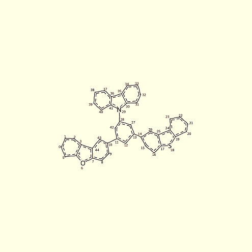 c1ccc2c(c1)oc1ccc(-c3cc(-c4ccc5sc6ccccc6c5c4)cc(-n4c5ccccc5c5ccccc54)c3)cc12